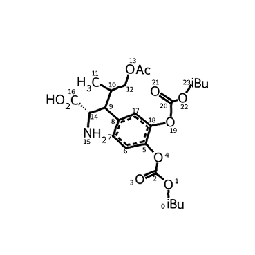 CCC(C)OC(=O)Oc1ccc(C(C(C)COC(C)=O)[C@H](N)C(=O)O)cc1OC(=O)OC(C)CC